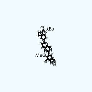 COc1c(-c2ncc3nc(N4CCC5(CCN5C(=O)OC(C)(C)C)C4)ccc3n2)cc2cn(C)nc2c1C